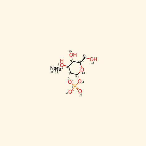 O=P([O-])([O-])O[C@@H]1C[C@@H](O)[C@H](O)[C@@H](CO)O1.[Na+].[Na+]